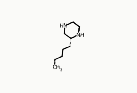 CCCCC[C@@H]1CNCCN1